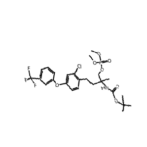 COP(=O)(OC)OCC(C)(CCc1ccc(Oc2cccc(C(F)(F)F)c2)cc1Cl)NC(=O)OC(C)(C)C